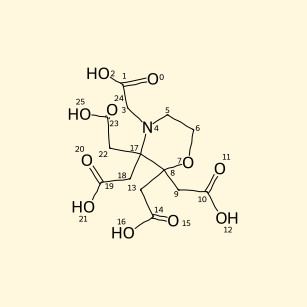 O=C(O)CN1CCOC(CC(=O)O)(CC(=O)O)C1(CC(=O)O)CC(=O)O